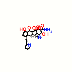 CN(C)[C@@H]1C(O)=C(C(N)=O)C(=O)[C@]2(O)C(O)=C3C(=O)c4c(O)ccc(C#Cc5ccccn5)c4C[C@H]3C[C@@H]12